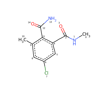 CNC(=O)c1cc(Cl)cc(C)c1C(N)=O